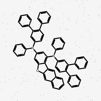 c1ccc(-c2ccc(N(c3ccccc3)c3cc(N(c4ccccc4)c4ccc(-c5ccccc5)c(-c5ccccc5)c4)c4c(c3)oc3cc5ccccc5cc34)cc2-c2ccccc2)cc1